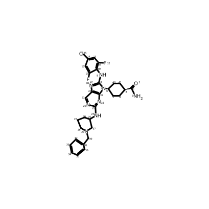 NC(=O)[C@H]1CC[C@@H](n2c(Nc3c(F)cc(Cl)cc3F)nc3cnc(NC4CCCN(Cc5ccccc5)C4)nc32)CC1